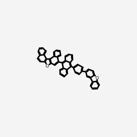 c1ccc2c(c1)ccc1oc3cc(-c4c5ccccc5c(-c5ccc(-c6ccc7oc8ccccc8c7c6)cc5)c5ccccc45)c4ccccc4c3c12